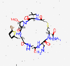 CC(C)(C)[C@@H]1NC(=O)CSC[C@H](C(N)=O)NC(=O)[C@@H](CN)NC(=O)CNC(=O)[C@H](Cc2ccc(Br)s2)NC(=O)[C@@H]2C[C@@H](O)CN2C1=O